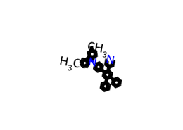 Cc1ccc2c(c1)c1cc(C)ccc1n2-c1ccc(-c2cc(-c3ccccc3)c(-c3ccccc3)cc2-c2ccncc2)cc1